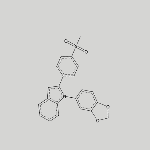 CS(=O)(=O)c1ccc(-c2cc3ccccc3n2-c2ccc3c(c2)OCO3)cc1